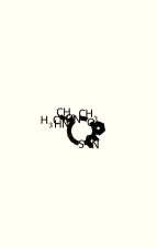 CC(C)CN[C@H]1CCCCSc2cncc(c2)-c2ccccc2OC[C@@H](C)NC1=O